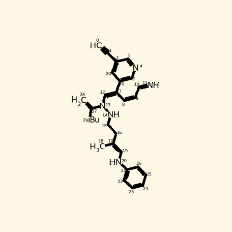 C#Cc1cncc(C(/C=C\C=N)=C/N(NCC/C(C)=C/Nc2ccccc2)C(=C)C(C)CC)c1